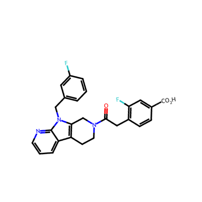 O=C(O)c1ccc(CC(=O)N2CCc3c(n(Cc4cccc(F)c4)c4ncccc34)C2)c(F)c1